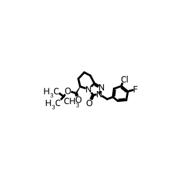 CC(C)(C)OC(=O)[C@H]1CCCc2nn(Cc3ccc(F)c(Cl)c3)c(=O)n21